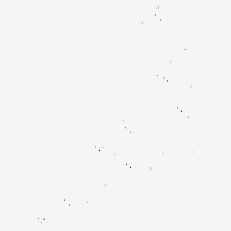 CSN1CCC(Nc2ncc(C(F)(F)F)c(-c3cn(-c4ccnc(Cl)c4Cl)cn3)n2)CC1